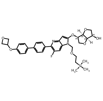 C[Si](C)(C)CCOCn1c(O[C@@H]2CO[C@H]3[C@@H]2OC[C@H]3O)cc2nc(-c3ccc(-c4ccc(OC5COC5)cc4)cc3)c(F)cc21